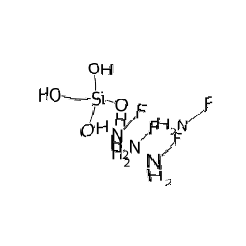 NF.NF.NF.NF.O[Si](O)(O)O